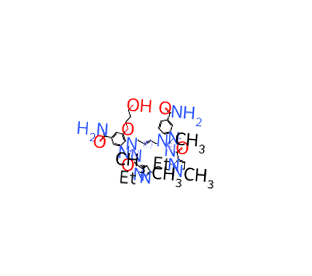 CCn1nc(C)cc1C(=O)/N=c1\n(C)c2cc(C(N)=O)ccc2n1C/C=C/Cn1/c(=N/C(=O)c2cc(C)nn2CC)n(C)c2cc(C(N)=O)cc(OCCCO)c21